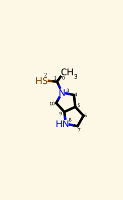 CC(S)N1CC2CCNC2C1